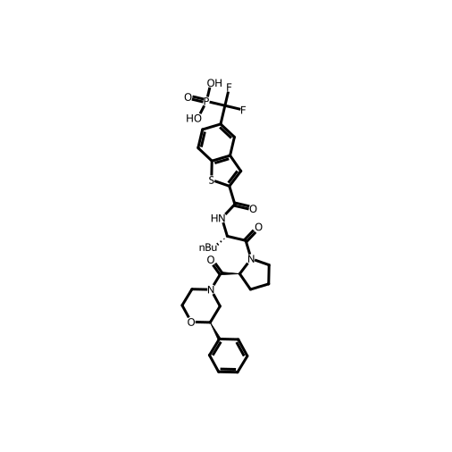 CCCC[C@H](NC(=O)c1cc2cc(C(F)(F)P(=O)(O)O)ccc2s1)C(=O)N1CCC[C@H]1C(=O)N1CCO[C@H](c2ccccc2)C1